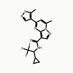 Cc1sncc1-c1cc(C)n2ncc(C(=O)NC(C3CC3)C(F)(F)F)c2n1